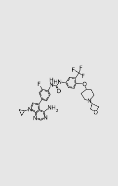 Nc1ncnc2c1c(-c1ccc(NC(=O)Nc3ccc(OC4CCN(C5COC5)CC4)c(C(F)(F)F)c3)c(F)c1)cn2C1CC1